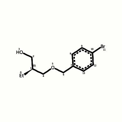 CC[C@@H](CO)COCc1ccc(Br)cc1